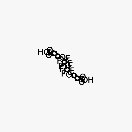 O=S(=O)(O)c1ccc2cc(Oc3c(F)c(F)c(-c4c(F)c(F)c(Oc5ccc6cc(S(=O)(=O)O)ccc6c5)c(F)c4F)c(F)c3F)ccc2c1